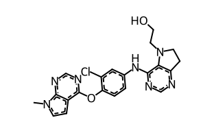 Cn1ccc2c(Oc3ccc(Nc4ncnc5c4N(CCO)CC5)cc3Cl)ncnc21